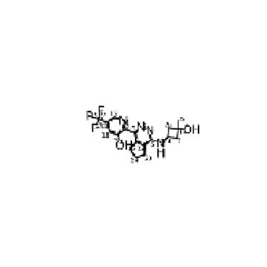 CC1(O)CC(Nc2nnc(-c3ncc(C(F)(F)F)cc3O)c3c2CCC3)C1